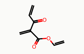 C=COC(=O)C(=C)C(=O)C=C